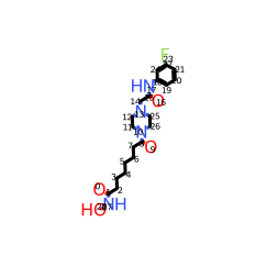 O=C(CCCCCCC(=O)N1CCN(CC(=O)Nc2cccc(F)c2)CC1)NO